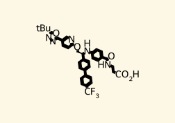 CC(C)(C)c1nnc(-c2ccc(OC[C@@H](Nc3ccc(C(=O)NCCC(=O)O)cc3)c3ccc(-c4ccc(C(F)(F)F)cc4)cc3)nc2)o1